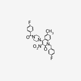 Cc1ccc2c(c1)c(N1CCN(C(=O)c3ccc(F)cc3)CC1)c([N+](=O)[O-])c(=O)n2Cc1ccc(F)cc1